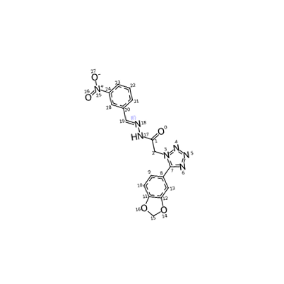 O=C(Cn1nnnc1-c1ccc2c(c1)OCO2)N/N=C/c1cccc([N+](=O)[O-])c1